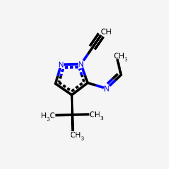 C#Cn1ncc(C(C)(C)C)c1/N=C\C